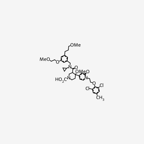 COCCCc1cc(CN(C(=O)C2CN(C(=O)O)CCC2(OC)c2ccn(CCOc3c(Cl)cc(C)cc3Cl)c(=O)c2)C2CC2)cc(OCCOC)c1